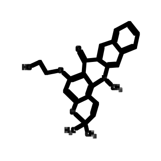 Cn1c2cc3ccccc3cc2c(=O)c2c(OCCO)cc3c(c21)C=CC(C)(C)O3